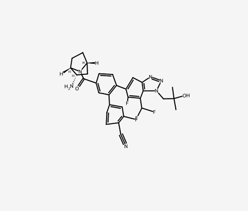 CC(C)(O)Cn1nnc2cc(-c3ccc(C(=O)N4[C@@H]5CC[C@H]4[C@@H](N)C5)cc3-c3ccc(C#N)c(F)c3)c(F)c(C(F)F)c21